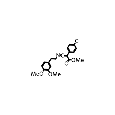 COC(=O)C(=C=NCCc1ccc(OC)c(OC)c1)c1ccc(Cl)cc1